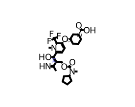 CC(=N)/C(COC(=O)N(C)C1CCCC1)=C(\O)C1=CC=C(O[C@H]2CCC[C@H](C(=O)O)C2)C(C(F)(F)F)N1C